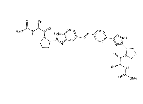 COC(=O)N[C@H](C(=O)N1CCC[C@H]1c1nc(-c2ccc(/C=C/c3ccc4[nH]c([C@@H]5CCCN5C(=O)[C@@H](NC(=O)OC)C(C)C)nc4c3)cc2)c[nH]1)C(C)C